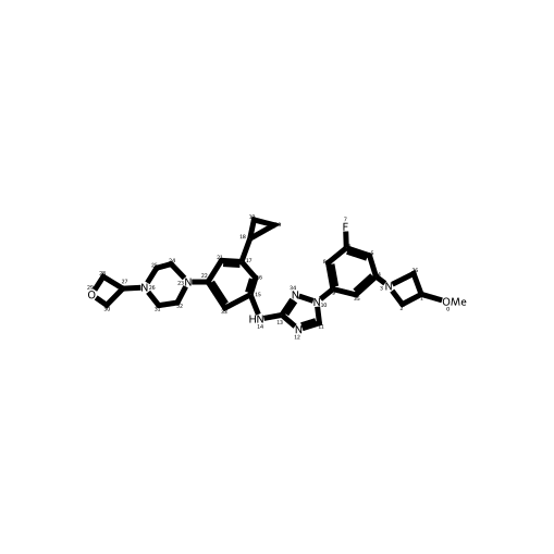 COC1CN(c2cc(F)cc(-n3cnc(Nc4cc(C5CC5)cc(N5CCN(C6COC6)CC5)c4)n3)c2)C1